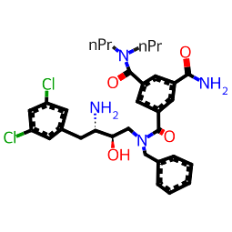 CCCN(CCC)C(=O)c1cc(C(N)=O)cc(C(=O)N(Cc2ccccc2)C[C@@H](O)[C@@H](N)Cc2cc(Cl)cc(Cl)c2)c1